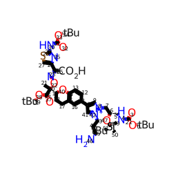 CC(C)(C)OC(=O)NC[C@@H](Cn1cc(-c2ccc3c(c2)CC[C@H](C(C)(O/N=C(\C(=O)O)c2csc(NC(=O)OC(C)(C)C)n2)C(=O)OC(C)(C)C)O3)c[n+]1CCCN)O[Si](C)(C)C(C)(C)C